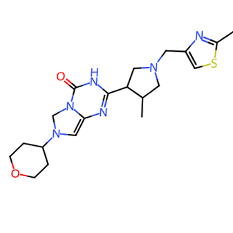 Cc1nc(CN2CC(C)C(C3=NC4=CN(C5CCOCC5)CN4C(=O)N3)C2)cs1